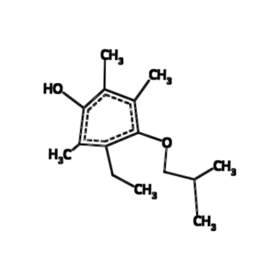 CCc1c(C)c(O)c(C)c(C)c1OCC(C)C